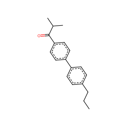 CCCc1ccc(-c2ccc(C(=O)C(C)C)cc2)cc1